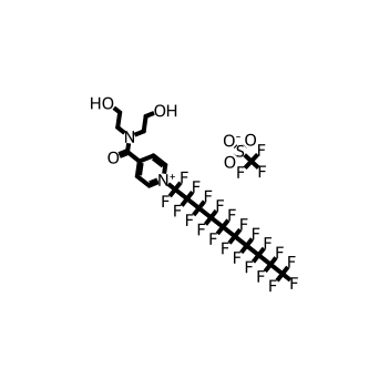 O=C(c1cc[n+](C(F)(F)C(F)(F)C(F)(F)C(F)(F)C(F)(F)C(F)(F)C(F)(F)C(F)(F)C(F)(F)C(F)(F)F)cc1)N(CCO)CCO.O=S(=O)([O-])C(F)(F)F